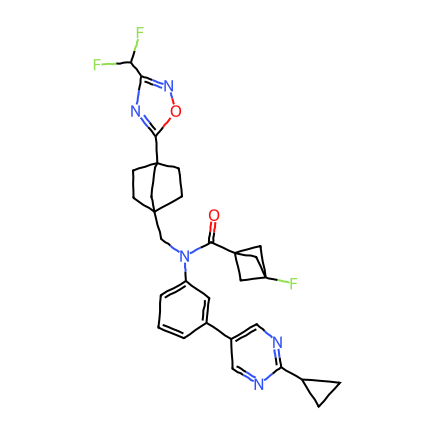 O=C(N(CC12CCC(c3nc(C(F)F)no3)(CC1)CC2)c1cccc(-c2cnc(C3CC3)nc2)c1)C12CC(F)(C1)C2